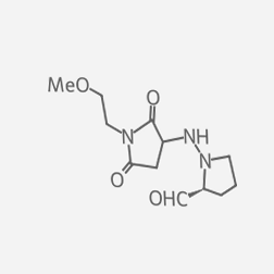 COCCN1C(=O)CC(NN2CCC[C@H]2C=O)C1=O